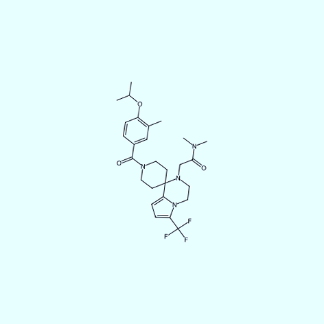 Cc1cc(C(=O)N2CCC3(CC2)c2ccc(C(F)(F)F)n2CCN3CC(=O)N(C)C)ccc1OC(C)C